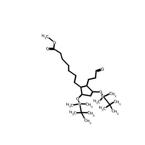 COC(=O)CCCCCCC1C(O[Si](C)(C)C(C)(C)C)CC(O[Si](C)(C)C(C)(C)C)C1CCC=O